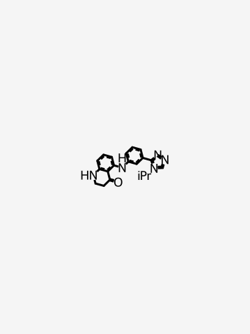 CC(C)n1cnnc1-c1cccc(Nc2cccc3c2C(=O)CCN3)c1